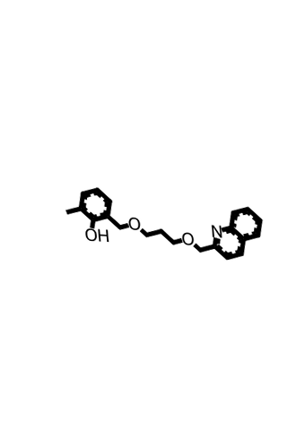 Cc1cccc(COCCCOCc2ccc3ccccc3n2)c1O